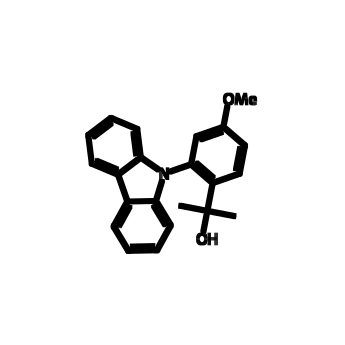 COc1ccc(C(C)(C)O)c(-n2c3ccccc3c3ccccc32)c1